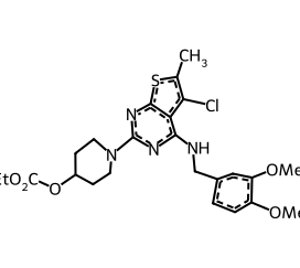 CCOC(=O)OC1CCN(c2nc(NCc3ccc(OC)c(OC)c3)c3c(Cl)c(C)sc3n2)CC1